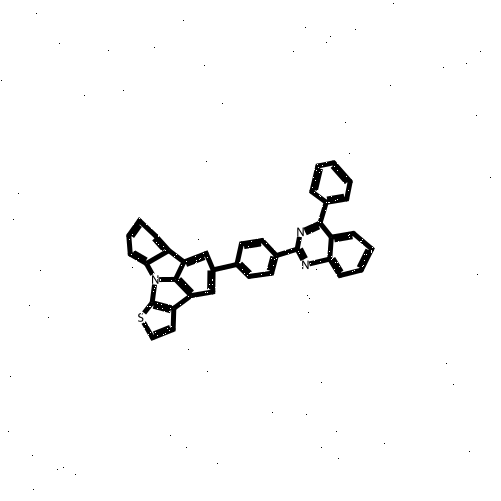 c1ccc(-c2nc(-c3ccc(-c4cc5c6ccccc6n6c7sccc7c(c4)c56)cc3)nc3ccccc23)cc1